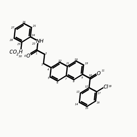 O=C(CCc1ccc2cc(C(=O)c3ccccc3Cl)ccc2c1)Nc1ccccc1C(=O)O